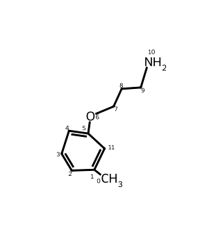 Cc1cccc(OCCCN)c1